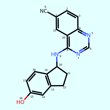 N#Cc1ccc2ncnc(NC3CCc4cc(O)ccc43)c2c1